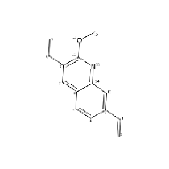 C=Cc1ccc2cc(CC)c(OC)nc2c1